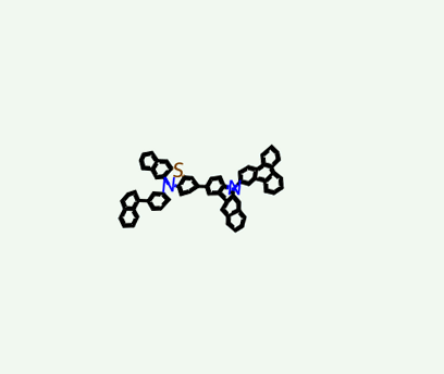 c1cc(-c2cccc3ccccc23)cc(N2c3ccc(-c4ccc5c(c4)c4cc6ccccc6cc4n5-c4ccc5c6ccccc6c6ccccc6c5c4)cc3Sc3cc4ccccc4cc32)c1